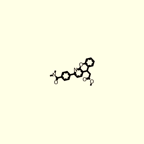 COC(=O)CC1c2ccccc2Oc2nc(-c3ccc(C(=O)N(C)C)cc3)ccc21